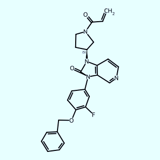 C=CC(=O)N1CC[C@H](n2c(=O)n(-c3ccc(OCc4ccccc4)c(F)c3)c3cnccc32)C1